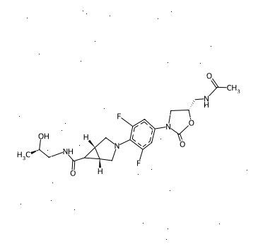 CC(=O)NC[C@H]1CN(c2cc(F)c(N3C[C@@H]4C(C(=O)NC[C@@H](C)O)[C@@H]4C3)c(F)c2)C(=O)O1